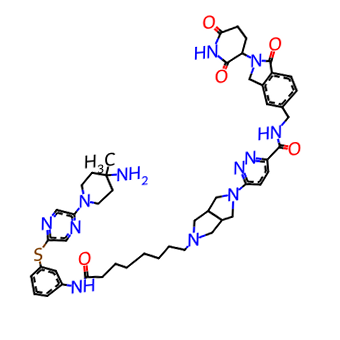 CC1(N)CCN(c2cnc(Sc3cccc(NC(=O)CCCCCCCN4CC5CN(c6ccc(C(=O)NCc7ccc8c(c7)CN(C7CCC(=O)NC7=O)C8=O)nn6)CC5C4)c3)cn2)CC1